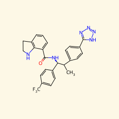 CC(c1ccc(-c2nnn[nH]2)cc1)[C@H](NC(=O)c1cccc2c1NCC2)c1ccc(C(F)(F)F)cc1